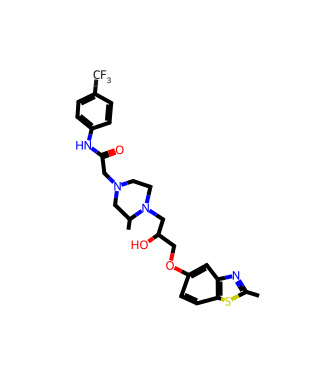 Cc1nc2cc(OCC(O)CN3CCN(CC(=O)Nc4ccc(C(F)(F)F)cc4)CC3C)ccc2s1